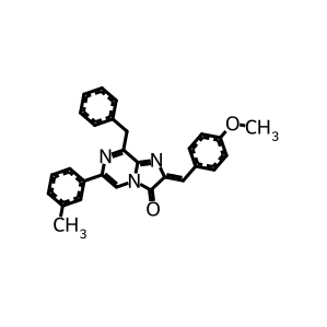 COc1ccc(/C=C2\N=C3C(Cc4ccccc4)=NC(c4cccc(C)c4)=CN3C2=O)cc1